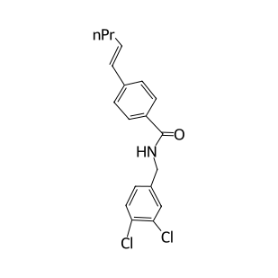 CCC/C=C/c1ccc(C(=O)NCc2ccc(Cl)c(Cl)c2)cc1